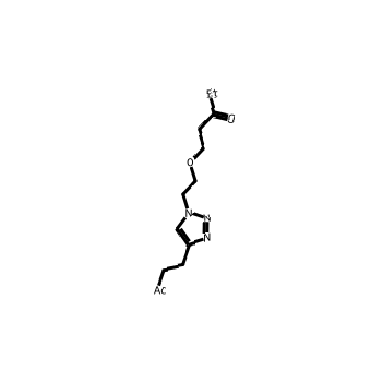 CCC(=O)CCOCCn1cc(CCC(C)=O)nn1